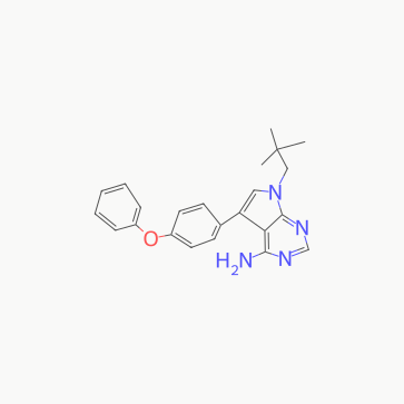 CC(C)(C)Cn1cc(-c2ccc(Oc3ccccc3)cc2)c2c(N)ncnc21